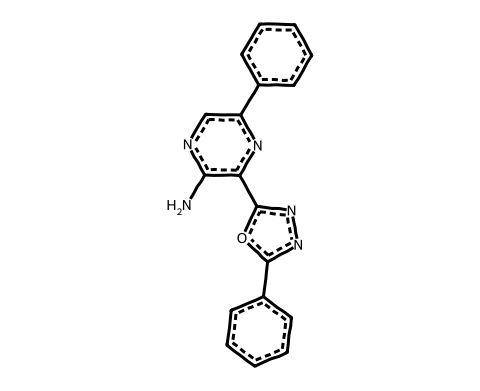 Nc1ncc(-c2ccccc2)nc1-c1nnc(-c2ccccc2)o1